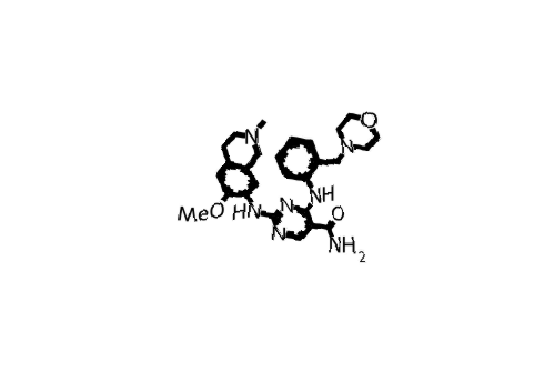 COc1cc2c(cc1Nc1ncc(C(N)=O)c(Nc3ccccc3CN3CCOCC3)n1)CN(C)CC2